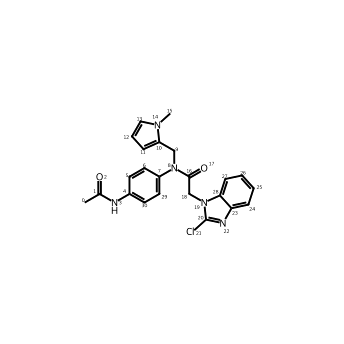 CC(=O)Nc1ccc(N(Cc2cccn2C)C(=O)Cn2c(Cl)nc3ccccc32)cc1